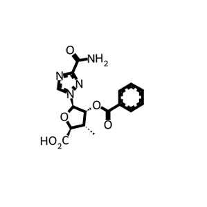 C[C@H]1[C@@H](OC(=O)c2ccccc2)[C@H](n2cnc(C(N)=O)n2)O[C@@H]1C(=O)O